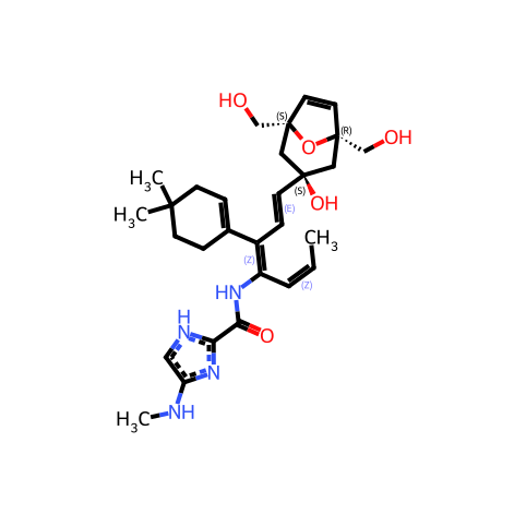 C\C=C/C(NC(=O)c1nc(NC)c[nH]1)=C(\C=C\[C@]1(O)C[C@@]2(CO)C=C[C@@](CO)(C1)O2)C1=CCC(C)(C)CC1